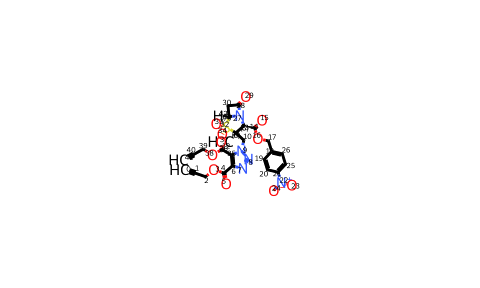 C#CCOC(=O)c1nnn(C[C@@]2(C)[C@H](C(=O)OCc3ccc([N+](=O)[O-])cc3)N3C(=O)C[C@H]3S2(=O)=O)c1C(=O)OCC#C